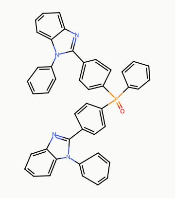 O=P(c1ccccc1)(c1ccc(-c2nc3ccccc3n2-c2ccccc2)cc1)c1ccc(-c2nc3ccccc3n2-c2ccccc2)cc1